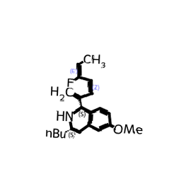 C=C(/C=C\C(F)=C/C)[C@@H]1N[C@@H](CCCC)Cc2cc(OC)ccc21